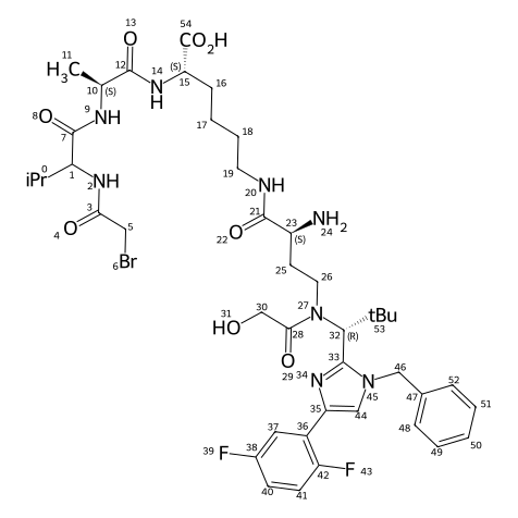 CC(C)C(NC(=O)CBr)C(=O)N[C@@H](C)C(=O)N[C@@H](CCCCNC(=O)[C@@H](N)CCN(C(=O)CO)[C@@H](c1nc(-c2cc(F)ccc2F)cn1Cc1ccccc1)C(C)(C)C)C(=O)O